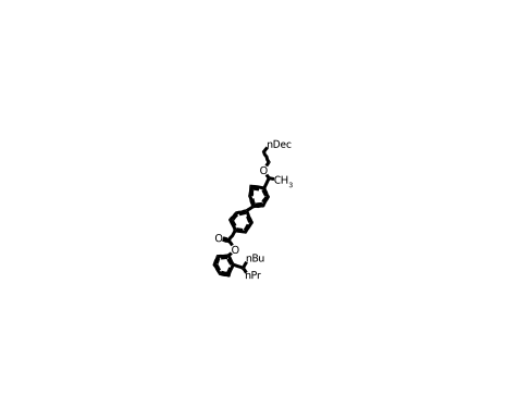 CCCCCCCCCCCCOC(C)c1ccc(-c2ccc(C(=O)Oc3ccccc3C(CCC)CCCC)cc2)cc1